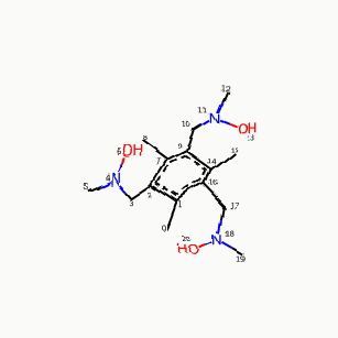 Cc1c(CN(C)O)c(C)c(CN(C)O)c(C)c1CN(C)O